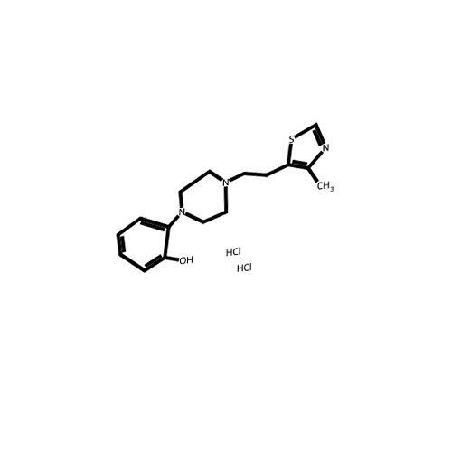 Cc1ncsc1CCN1CCN(c2ccccc2O)CC1.Cl.Cl